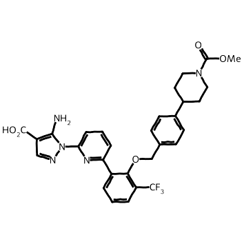 COC(=O)N1CCC(c2ccc(COc3c(-c4cccc(-n5ncc(C(=O)O)c5N)n4)cccc3C(F)(F)F)cc2)CC1